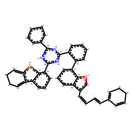 C1=CC(/C=C/C=C\c2coc3c(-c4ccccc4-c4nc(-c5ccccc5)nc(-c5cccc6c7c(sc56)=CCCC=7)n4)cccc23)=CCC1